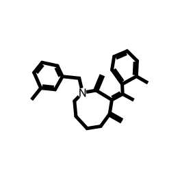 C=C1CCCCN(Cc2cccc(C)c2)C(=C)/C1=C(/C)c1ccccc1C